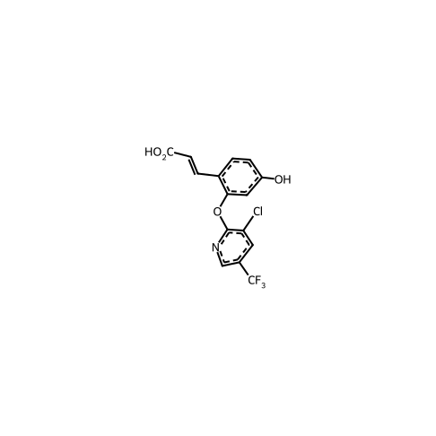 O=C(O)/C=C/c1ccc(O)cc1Oc1ncc(C(F)(F)F)cc1Cl